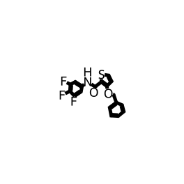 O=C(Nc1cc(F)c(F)c(F)c1)c1sccc1OCc1ccccc1